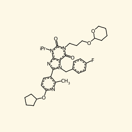 Cc1nc(OC2CCCC2)ccc1-c1nc2c(c(=O)n(CCCOC3CCCCO3)c(=O)n2C(C)C)n1Cc1ccc(F)cc1